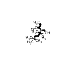 C=CC(=O)N(CO)C(C)(C)CC[N+](C)(C)C.[Cl-]